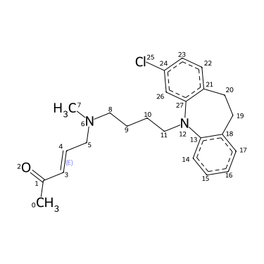 CC(=O)/C=C/CN(C)CCCCN1c2ccccc2CCc2ccc(Cl)cc21